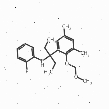 CCC(CC)(Pc1ccccc1F)c1cc(C)cc(C)c1OCOC